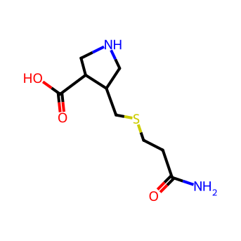 NC(=O)CCSCC1CNCC1C(=O)O